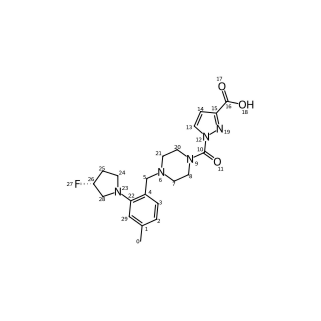 Cc1ccc(CN2CCN(C(=O)n3ccc(C(=O)O)n3)CC2)c(N2CC[C@@H](F)C2)c1